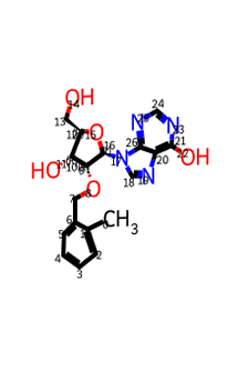 Cc1ccccc1CO[C@@H]1[C@H](O)[C@@H](CO)O[C@H]1n1cnc2c(O)ncnc21